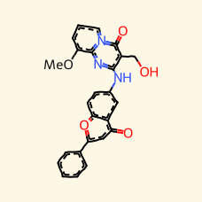 COc1cccn2c(=O)c(CO)c(Nc3ccc4oc(-c5ccccc5)cc(=O)c4c3)nc12